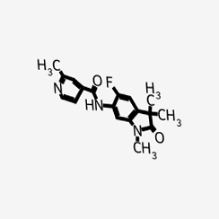 Cc1cc(C(=O)Nc2cc3c(cc2F)C(C)(C)C(=O)N3C)ccn1